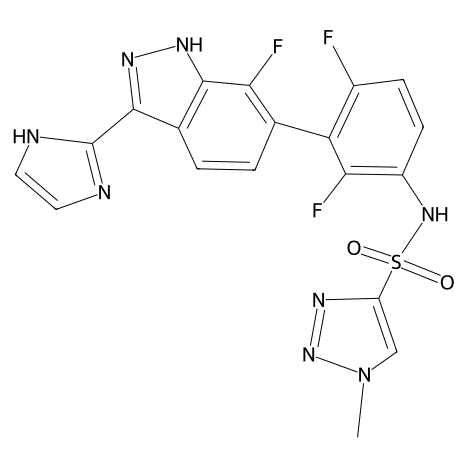 Cn1cc(S(=O)(=O)Nc2ccc(F)c(-c3ccc4c(-c5ncc[nH]5)n[nH]c4c3F)c2F)nn1